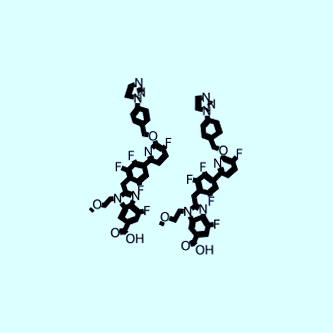 COCCn1c(Cc2c(F)cc(-c3ccc(F)c(OCc4ccc(-n5ccnn5)cc4)n3)c(F)c2F)nc2c(F)cc(C(=O)O)cc21.COCCn1c(Cc2c(F)cc(-c3ccc(F)c(OCc4ccc(-n5ccnn5)cc4)n3)c(F)c2F)nc2c(F)cc(C(=O)O)cc21